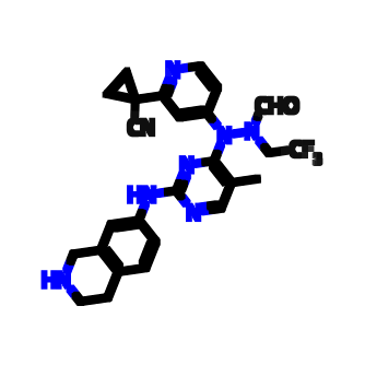 Cc1cnc(Nc2ccc3c(c2)CNCC3)nc1N(c1ccnc(C2(C#N)CC2)c1)N(C=O)CC(F)(F)F